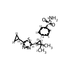 CC1(C)[C@@H](c2ccc(S(N)(=O)=O)cc2)[C@@H]1c1nnc(C2CC2)s1